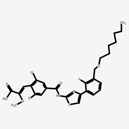 CCCCCCCOCc1cccc(-c2csc(NC(=O)c3cc(Cl)c(/C=C(\OC)C(=O)O)c(Cl)c3)n2)c1F